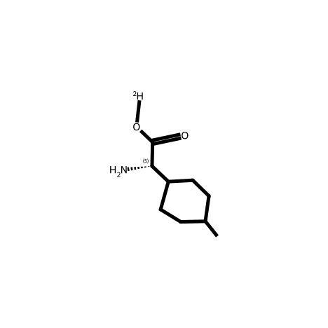 [2H]OC(=O)[C@@H](N)C1CCC(C)CC1